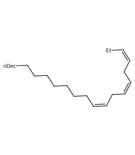 CC/C=C\C/C=C\C/C=C\CCCCCCCCCCCCCCCCC